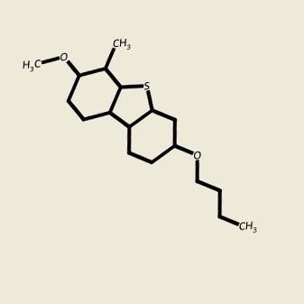 CCCCOC1CCC2C(C1)SC1C(C)C(OC)CCC21